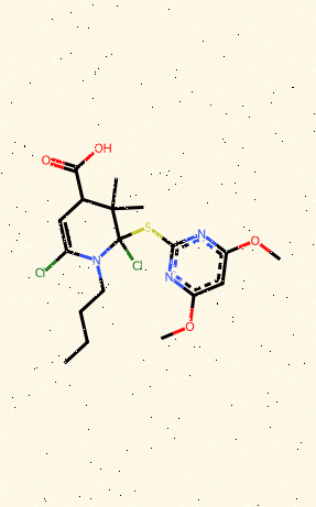 CCCCN1C(Cl)=CC(C(=O)O)C(C)(C)C1(Cl)Sc1nc(OC)cc(OC)n1